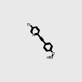 CCCCOc1ccc(C#Cc2ccc(CC)cn2)cc1